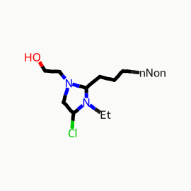 CCCCCCCCCCCCC1N(CCO)CC(Cl)N1CC